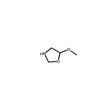 COC1CNCO1